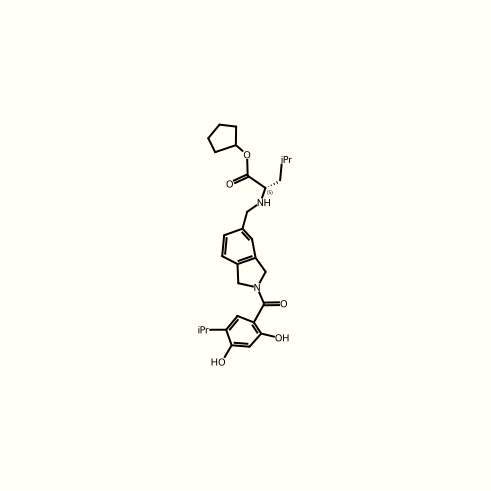 CC(C)C[C@H](NCc1ccc2c(c1)CN(C(=O)c1cc(C(C)C)c(O)cc1O)C2)C(=O)OC1CCCC1